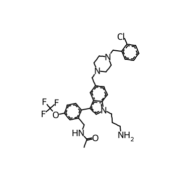 CC(=O)NCc1cc(OC(F)(F)F)ccc1-c1cn(CCCN)c2ccc(CN3CCN(Cc4ccccc4Cl)CC3)cc12